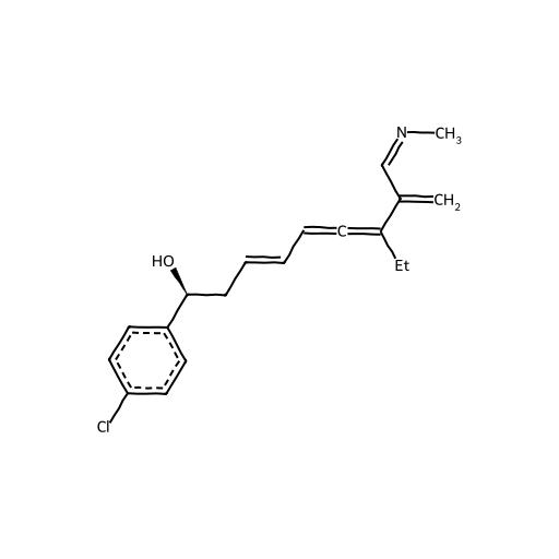 C=C(/C=N\C)C(=C=C/C=C/C[C@H](O)c1ccc(Cl)cc1)CC